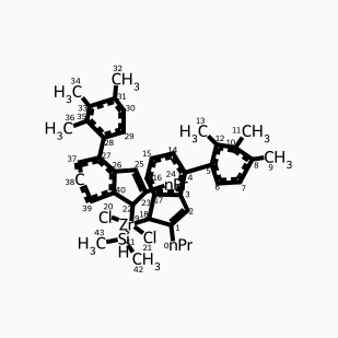 CCCC1=Cc2c(-c3ccc(C)c(C)c3C)cccc2[CH]1[Zr]([Cl])([Cl])([CH]1C(CCC)=Cc2c(-c3ccc(C)c(C)c3C)cccc21)[SiH](C)C